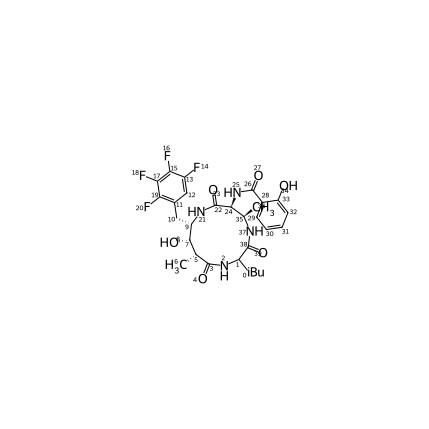 CCC(C)C1NC(=O)[C@H](C)[C@H](O)[C@H](Cc2cc(F)c(F)c(F)c2F)NC(=O)[C@@H](NC(=O)c2ccccc2O)[C@@H](C)NC1=O